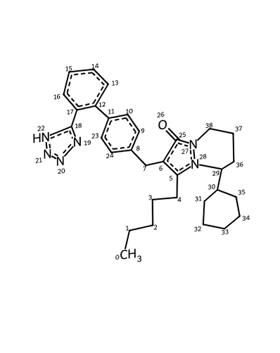 CCCCCc1c(Cc2ccc(-c3ccccc3-c3nnn[nH]3)cc2)c(=O)n2n1C(C1CCCCC1)CCC2